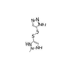 CN1NC=C(SSc2cnn[nH]2)N1